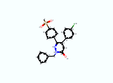 CS(=O)(=O)c1ccc(-c2nn(Cc3ccccc3)c(=O)cc2-c2ccc(F)cc2)cc1